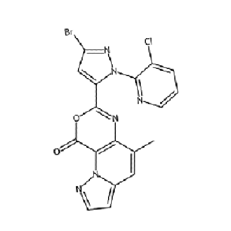 Cc1cc2ccnn2c2c(=O)oc(-c3cc(Br)nn3-c3ncccc3Cl)nc12